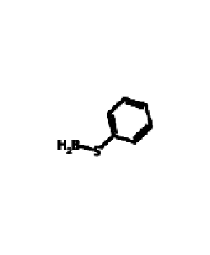 BSc1ccccc1